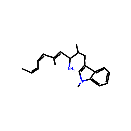 C\C=C/C=C\C(C)=C\C(N)C(C)Cc1cn(C)c2ccccc12